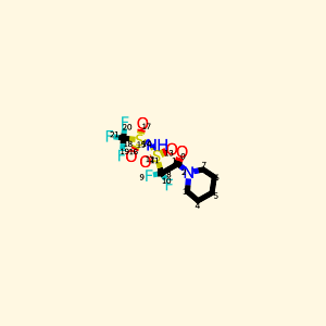 O=C(N1CCCCC1)C(F)(F)S(=O)(=O)NS(=O)(=O)C(F)(F)F